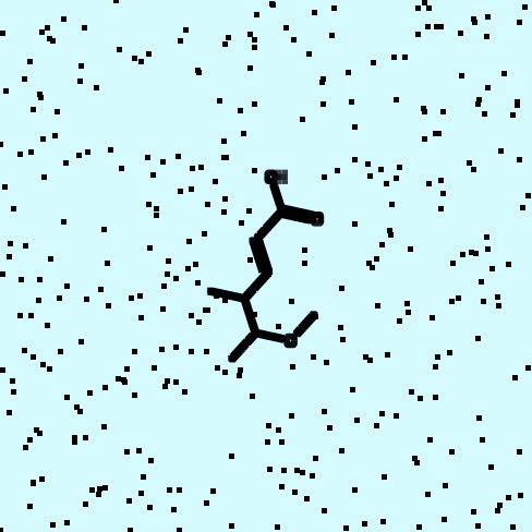 COC(C)C(C)C=CC(=O)O